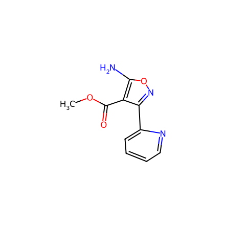 COC(=O)c1c(-c2ccccn2)noc1N